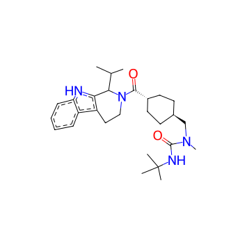 CC(C)C1c2[nH]c3ccccc3c2CCN1C(=O)[C@H]1CC[C@H](CN(C)C(=O)NC(C)(C)C)CC1